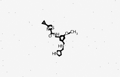 CCOc1cc(CNCC2CCNC2)cc(CNC(=O)c2nc(C3CC3)cs2)c1